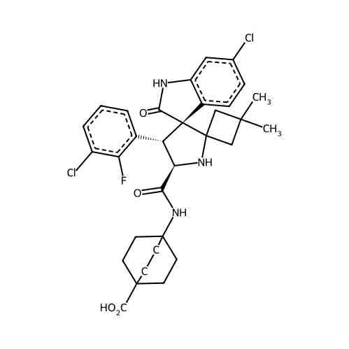 CC1(C)CC2(C1)N[C@@H](C(=O)NC13CCC(C(=O)O)(CC1)CC3)[C@H](c1cccc(Cl)c1F)[C@]21C(=O)Nc2cc(Cl)ccc21